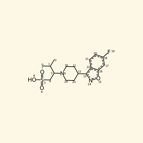 CC(C)C(CS(=O)(=O)O)N1CCC(c2noc3cc(F)ccc23)CC1